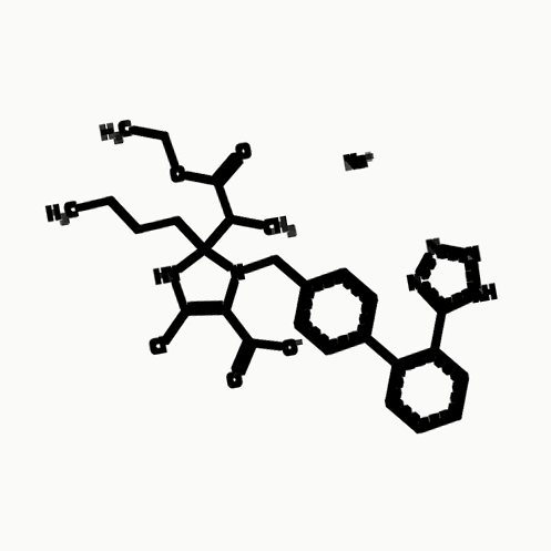 CCCCC1(C(C)C(=O)OCC)NC(Cl)=C(C(=O)[O-])N1Cc1ccc(-c2ccccc2-c2nnn[nH]2)cc1.[Na+]